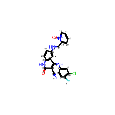 N#Cc1c(Nc2ccc(F)c(Cl)c2)c2cc(NCc3cccc[n+]3[O-])ccc2[nH]c1=O